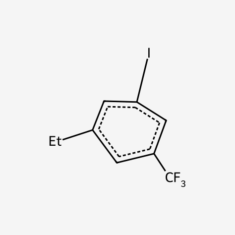 CCc1cc(I)cc(C(F)(F)F)c1